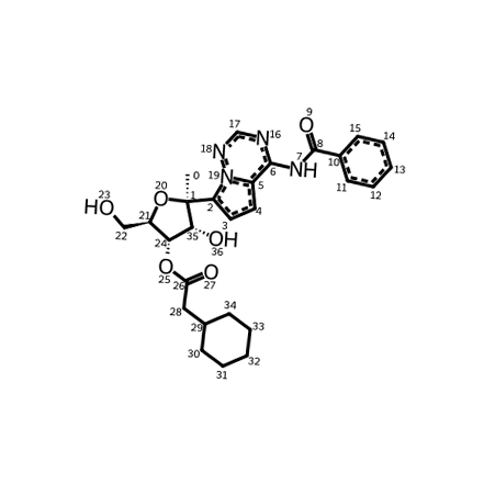 C[C@@]1(c2ccc3c(NC(=O)c4ccccc4)ncnn23)O[C@H](CO)[C@@H](OC(=O)CC2CCCCC2)[C@H]1O